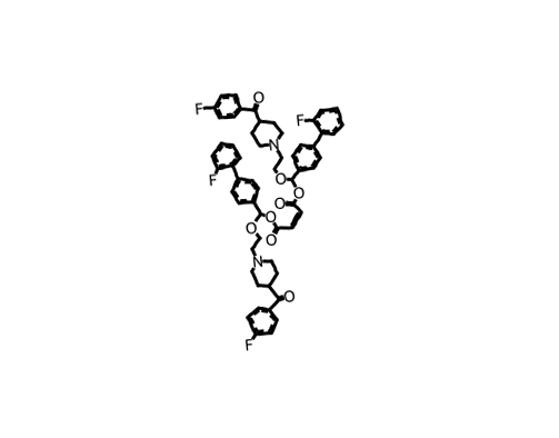 O=C(/C=C\C(=O)OC(OCCN1CCC(C(=O)c2ccc(F)cc2)CC1)c1ccc(-c2ccccc2F)cc1)OC(OCCN1CCC(C(=O)c2ccc(F)cc2)CC1)c1ccc(-c2ccccc2F)cc1